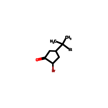 CCC(C)(C)C1CC(=O)C(Br)C1